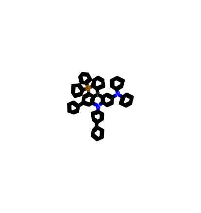 c1ccc(-c2ccc(N3c4ccc(N(c5ccccc5)c5ccccc5)cc4B4c5ccccc5S(c5ccccc5)(c5ccccc5)c5cc(-c6ccccc6)cc3c54)cc2)cc1